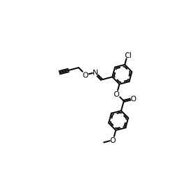 C#CCON=Cc1cc(Cl)ccc1OC(=O)c1ccc(OC)cc1